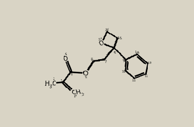 C=C(C)C(=O)OCCC1(c2ccccc2)CCO1